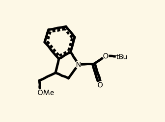 COCC1CN(C(=O)OC(C)(C)C)c2ccccc21